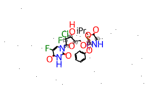 CC(C)OC(=O)[C@H](C)N[P@@](=S)(OC[C@H]1O[C@@H](n2cc(F)c(=O)[nH]c2=O)[C@@](F)(Cl)[C@@H]1O)Oc1ccccc1